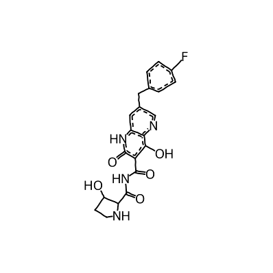 O=C(NC(=O)C1NCCC1O)c1c(O)c2ncc(Cc3ccc(F)cc3)cc2[nH]c1=O